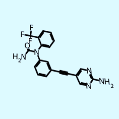 NC(=O)N(c1cccc(C#Cc2cnc(N)nc2)c1)c1ccccc1C(F)(F)F